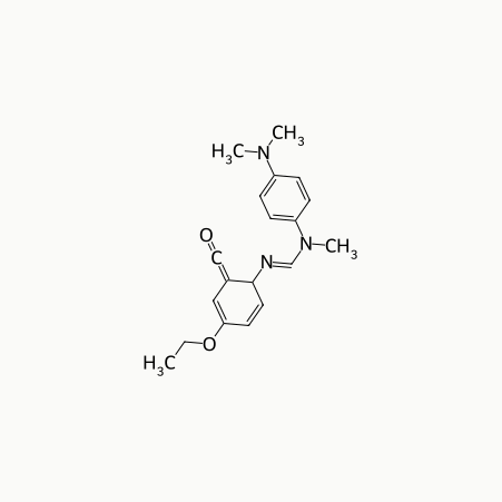 CCOC1=CC(=C=O)C(N=CN(C)c2ccc(N(C)C)cc2)C=C1